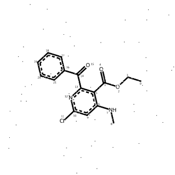 CCOC(=O)c1c(NC)cc(Cl)nc1C(=O)c1ccccc1